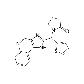 O=C1CCCN1C(c1nc2cnc3ccccc3c2[nH]1)c1cccs1